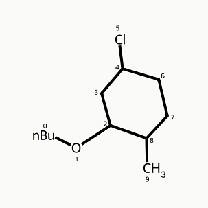 CCCCOC1CC(Cl)CCC1C